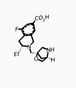 CC[C@@H]1Cc2c(F)cc(C(=O)O)cc2CN1C[C@@]12CN[C@@H](CO1)C2